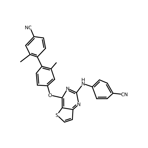 Cc1cc(C#N)ccc1-c1ccc(Oc2nc(Nc3ccc(C#N)cc3)nc3ccsc23)cc1C